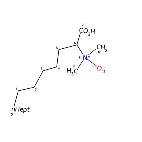 CCCCCCCCCCCCC(C(=O)O)[N+](C)(C)[O-]